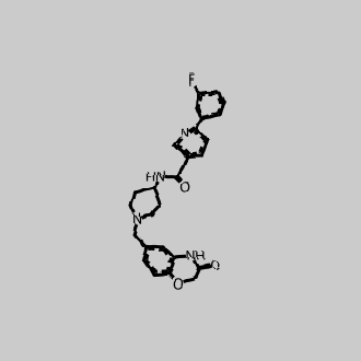 O=C1COc2ccc(CN3CCC(NC(=O)c4ccc(-c5cccc(F)c5)nc4)CC3)cc2N1